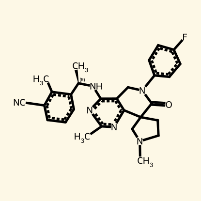 Cc1nc(N[C@H](C)c2cccc(C#N)c2C)c2c(n1)C1(CCN(C)C1)C(=O)N(c1ccc(F)cc1)C2